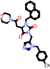 N#Cc1ccc(Cn2cncc2CN2C(=O)C(CC(=O)N3CCOCC3)N(Cc3cccc4ccccc34)C2=O)cc1